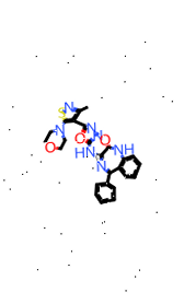 Cc1nsc(N2CCOCC2)c1-c1nnc(N[C@H]2N=C(c3ccccc3)c3ccccc3NC2=O)o1